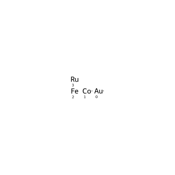 [Au].[Co].[Fe].[Ru]